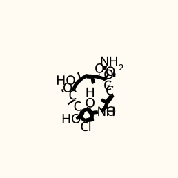 CO[C@H]1C[C@H](C)Cc2c(O)c(Cl)cc(c2O)NC(=O)/C(C)=C/CC[C@H](OC)[C@@H](OC(N)=O)/C(C)=C/[C@H](C)[C@H]1O